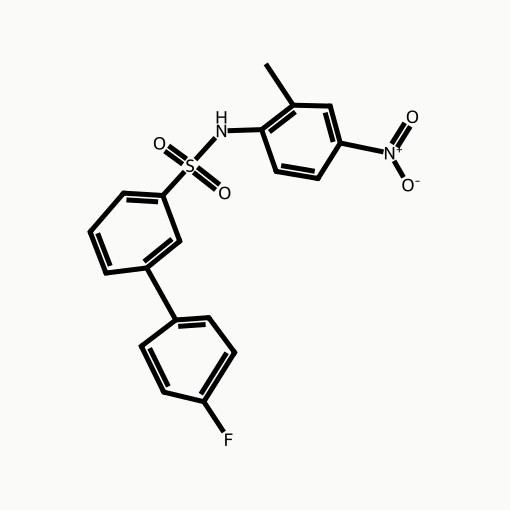 Cc1cc([N+](=O)[O-])ccc1NS(=O)(=O)c1cccc(-c2ccc(F)cc2)c1